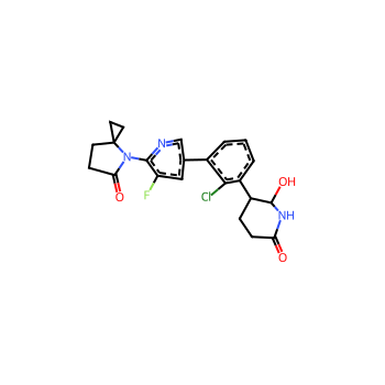 O=C1CCC(c2cccc(-c3cnc(N4C(=O)CCC45CC5)c(F)c3)c2Cl)C(O)N1